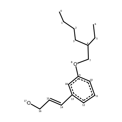 CCCCC(CC)COc1[c]ccc(C=CC[O])c1